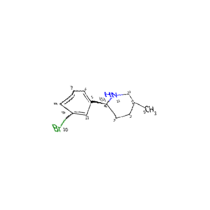 CC1CC[C@@H](c2cccc(Br)c2)NC1